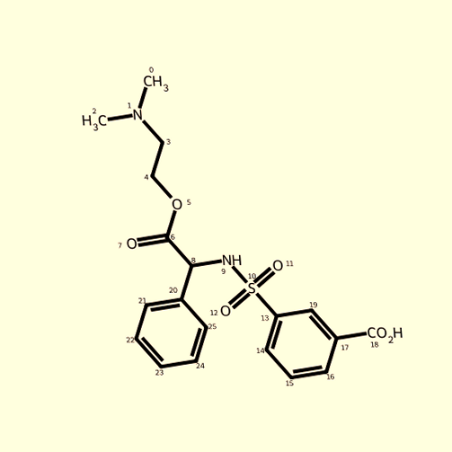 CN(C)CCOC(=O)C(NS(=O)(=O)c1cccc(C(=O)O)c1)c1ccccc1